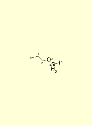 CCCO[SiH2]I